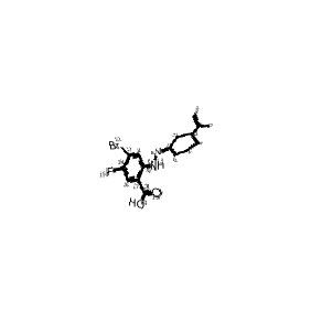 C=C(C)C1CCC/C(=N\Nc2cc(Br)c(F)cc2C(=O)O)C1